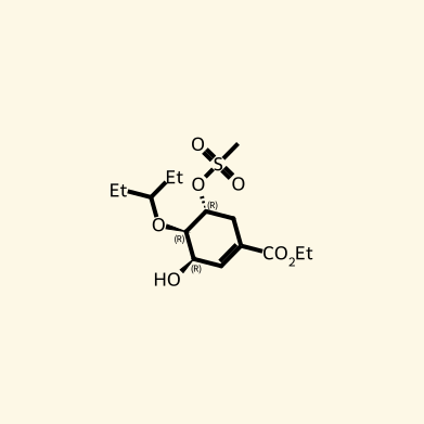 CCOC(=O)C1=C[C@@H](O)[C@@H](OC(CC)CC)[C@H](OS(C)(=O)=O)C1